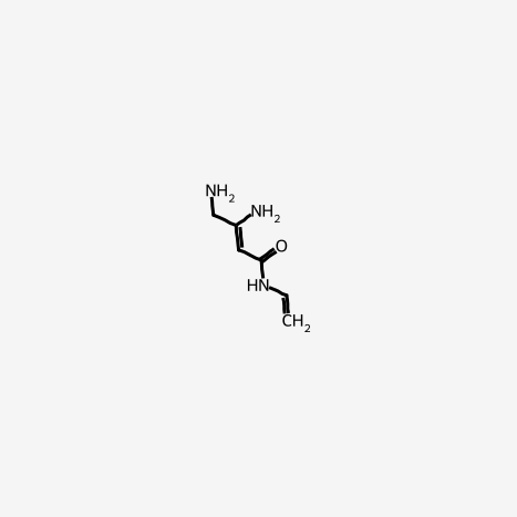 C=CNC(=O)/C=C(\N)CN